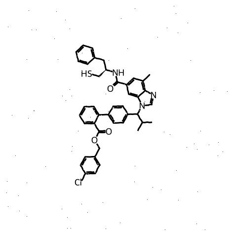 Cc1cc(C(=O)N[C@@H](CS)Cc2ccccc2)cc2c1ncn2C(c1ccc(-c2ccccc2C(=O)OCc2ccc(Cl)cc2)cc1)C(C)C